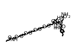 CCCC(=O)NCCOCCOCCOCCOCCOCCOCCOCCOCCC(=O)N[C@H](C(=O)N[C@@H](CCCNC(N)=O)C(=O)Nc1ccc(CC)cc1)C(C)C